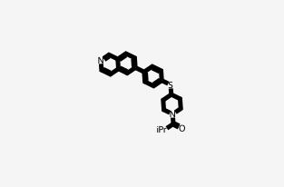 CC(C)C(=O)N1CCC(Sc2ccc(-c3ccc4cnccc4c3)cc2)CC1